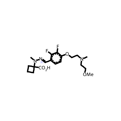 COCCN(C)CCOc1ccc(/C=N/N(C)C2(C(=O)O)CCC2)c(F)c1F